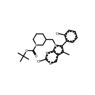 Cc1c(-c2ccccc2Cl)n(CC2CCCN(C(=O)OC(C)(C)C)C2)c2nc(Cl)ncc12